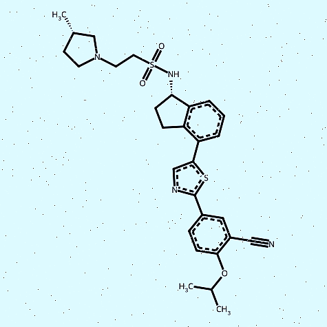 CC(C)Oc1ccc(-c2ncc(-c3cccc4c3CC[C@@H]4NS(=O)(=O)CCN3CC[C@H](C)C3)s2)cc1C#N